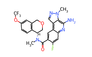 CN(C(=O)c1cc2c(cc1F)nc(N)c1c2cnn1C)[C@H]1COCc2cc(OC(F)(F)F)ccc21